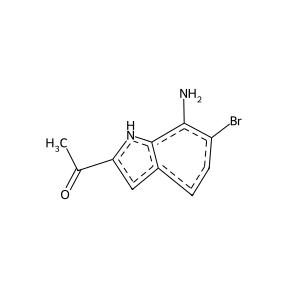 CC(=O)c1cc2ccc(Br)c(N)c2[nH]1